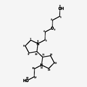 OCCOCCN1CCCC1C1CCCN1CCO